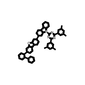 Cc1cc(C)cc(-c2nc(-c3cc(C)cc(C)c3)nc(-n3c4ccccc4c4ccc(-c5ccc6c(c5)oc5cc(-c7ccccc7-c7ccccc7)ccc56)cc43)n2)c1